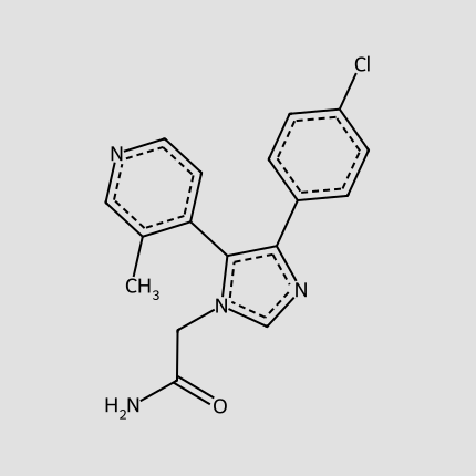 Cc1cnccc1-c1c(-c2ccc(Cl)cc2)ncn1CC(N)=O